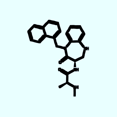 CN[C@@H](C)C(=O)N[C@H]1CNc2ccccc2N(Cc2cccc3ccccc23)C1=O